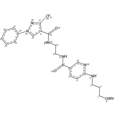 COCCCNc1ccc(C(=O)NCCNC(=O)c2cn(-c3ccccc3)nc2C(F)(F)F)cn1